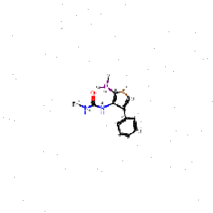 CC(C)NC(=O)Nc1c(-c2ccccc2)csc1P(C)C